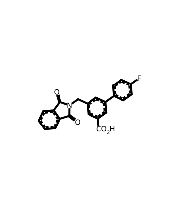 O=C(O)c1cc(CN2C(=O)c3ccccc3C2=O)cc(-c2ccc(F)cc2)c1